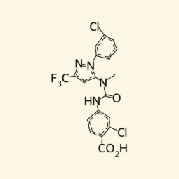 CN(C(=O)Nc1ccc(C(=O)O)c(Cl)c1)c1cc(C(F)(F)F)nn1-c1cccc(Cl)c1